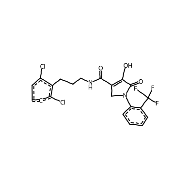 O=C(NCCCc1c(Cl)cccc1Cl)C1=C(O)C(=O)N(c2ccccc2C(F)(F)F)C1